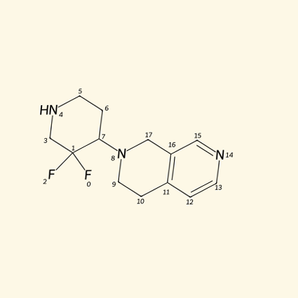 FC1(F)CNCCC1N1CCc2ccncc2C1